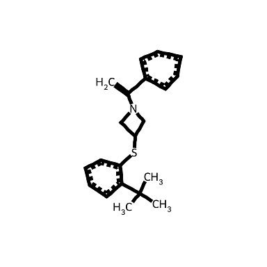 C=C(c1ccccc1)N1CC(Sc2ccccc2C(C)(C)C)C1